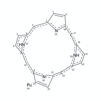 C1=Cc2cc3ccc(cc4nc(cc5ccc(cc1n2)[nH]5)C=C4)[nH]3.[Pu]